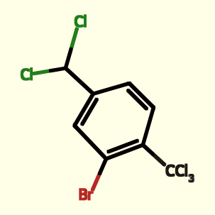 ClC(Cl)c1ccc(C(Cl)(Cl)Cl)c(Br)c1